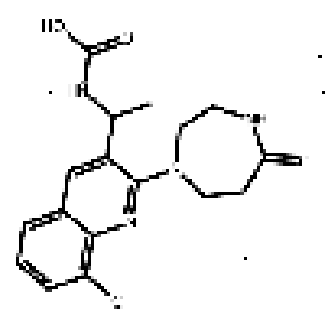 CC(NC(=O)O)c1cc2cccc(Cl)c2nc1N1CCNC(=O)CC1